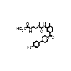 Cc1ccc(C(=O)N2CCC(c3ccc(C#N)cc3)CC2)cc1NC(=O)NCCNC(=O)C(=O)O